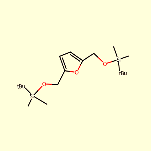 CC(C)(C)[Si](C)(C)OCc1ccc(CO[Si](C)(C)C(C)(C)C)o1